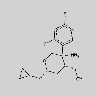 N[C@@]1(c2ccc(F)cc2F)CO[C@@H](CC2CC2)C[C@H]1CO